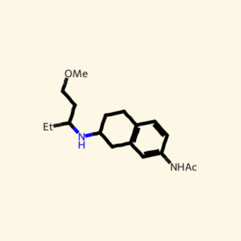 CCC(CCOC)NC1CCc2ccc(NC(C)=O)cc2C1